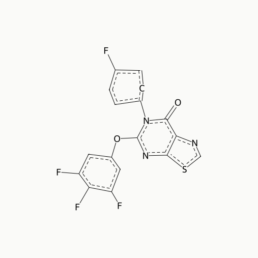 O=c1c2ncsc2nc(Oc2cc(F)c(F)c(F)c2)n1-c1ccc(F)cc1